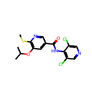 CSc1ncc(C(=O)Nc2c(Cl)cncc2Cl)cc1OC(C)C